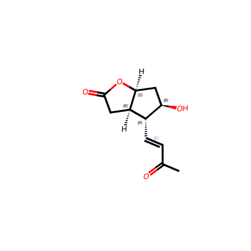 CC(=O)/C=C/[C@@H]1[C@H]2CC(=O)O[C@H]2C[C@H]1O